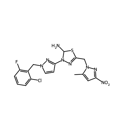 Cc1cc([N+](=O)[O-])nn1CC1=NN(c2ccn(Cc3c(F)cccc3Cl)n2)C(N)S1